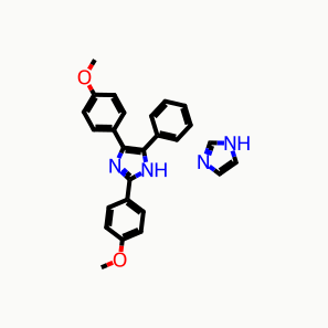 COc1ccc(-c2nc(-c3ccc(OC)cc3)c(-c3ccccc3)[nH]2)cc1.c1c[nH]cn1